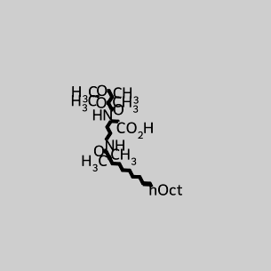 CCCCCCCCC=CCCCCCCC(C)(C)C(=O)NCCCC(CC(=O)O)NC(=O)C1OC(C)(C)OCC1(C)C